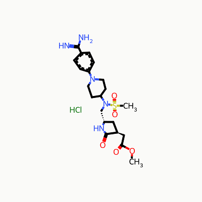 COC(=O)C[C@@H]1C[C@@H](CN(C2CCN(c3ccc(C(=N)N)cc3)CC2)S(C)(=O)=O)NC1=O.Cl